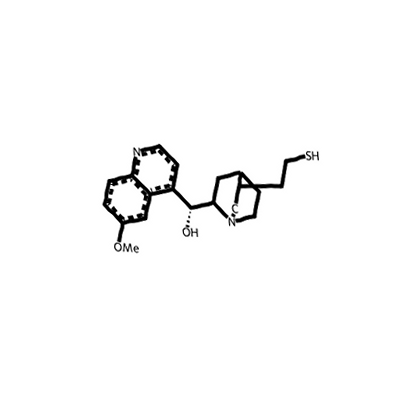 COc1ccc2nccc([C@@H](O)C3CC4CCN3CC4CCS)c2c1